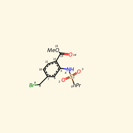 CCCS(=O)(=O)Nc1cc(CBr)ccc1C(=O)OC